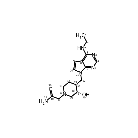 CCNc1ncnc2c1ccn2C[C@@H]1CCN(CC(N)=O)C[C@H]1O